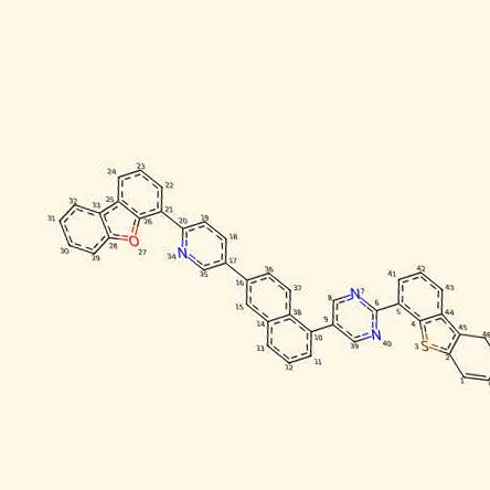 C1=Cc2sc3c(-c4ncc(-c5cccc6cc(-c7ccc(-c8cccc9c8oc8ccccc89)nc7)ccc56)cn4)cccc3c2CC1